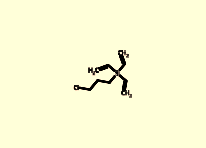 C=C[Si](C=C)(C=C)CCCCl